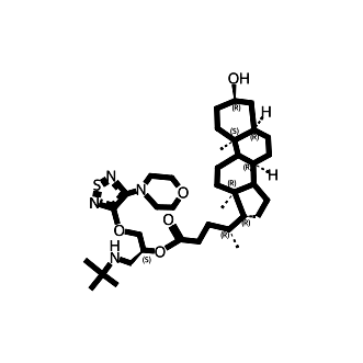 C[C@H](CCC(=O)O[C@@H](CNC(C)(C)C)COc1nsnc1N1CCOCC1)[C@H]1CCC2[C@@H]3CC[C@@H]4C[C@H](O)CC[C@]4(C)C3CC[C@@]21C